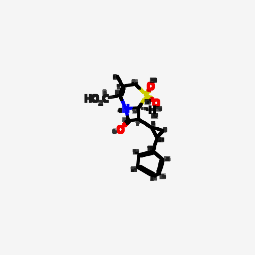 CC1=C(C(=O)O)N2C(=O)C(C3CC3c3ccccc3)[C@@H]2S(=O)(=O)C1